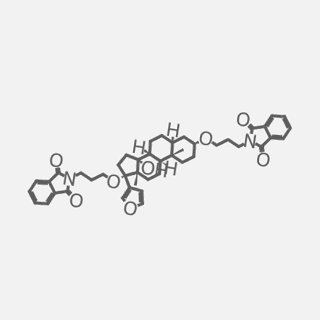 C[C@]12CC[C@H](OCCCN3C(=O)c4ccccc4C3=O)C[C@H]1CC[C@@H]1[C@@H]2CC[C@]2(C)[C@@](OCCCN3C(=O)c4ccccc4C3=O)(c3ccoc3)CC[C@]12O